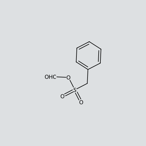 O=COS(=O)(=O)Cc1ccccc1